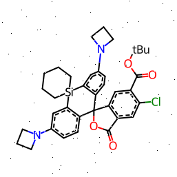 CC(C)(C)OC(=O)c1cc2c(cc1Cl)C(=O)OC21c2ccc(N3CCC3)cc2[Si]2(CCCCC2)c2cc(N3CCC3)ccc21